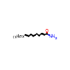 CCCCCCCCCCCC/C=C/C(N)=O